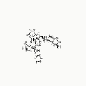 O=C(NCc1ccccc1)C(=O)[C@H](C[C@@H]1CCCNC1=O)NC(=O)C(CC1CCCCC1)NC(=O)C1=Cc2cc(Cl)ccc2OC1